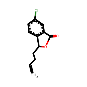 C=CCCC1OC(=O)c2cc(Cl)ccc21